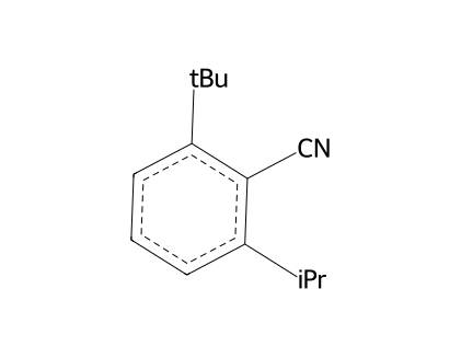 CC(C)c1cccc(C(C)(C)C)c1C#N